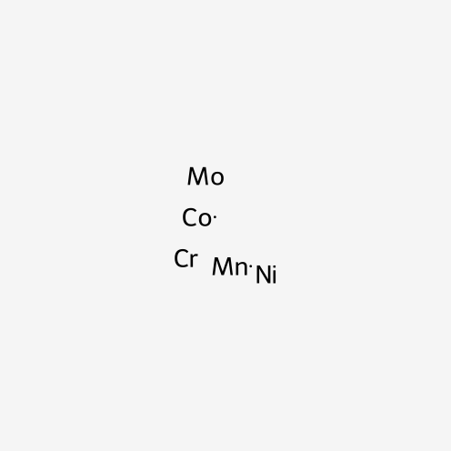 [Co].[Cr].[Mn].[Mo].[Ni]